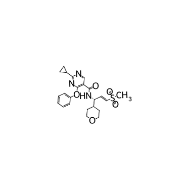 CS(=O)(=O)/C=C/[C@@H](NC(=O)c1cnc(C2CC2)nc1Oc1ccccc1)C1CCOCC1